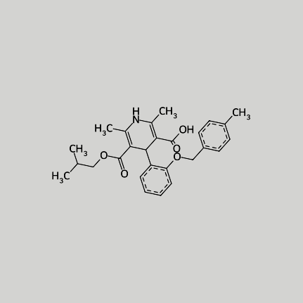 CC1=C(C(=O)O)C(c2ccccc2OCc2ccc(C)cc2)C(C(=O)OCC(C)C)=C(C)N1